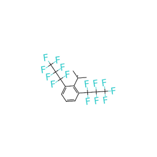 C[C](C)c1c(C(F)(F)C(F)(F)C(F)(F)F)cccc1C(F)(F)C(F)(F)C(F)(F)F